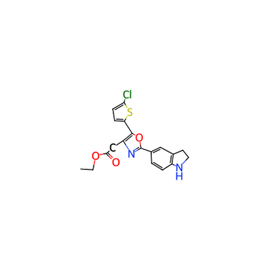 CCOC(=O)Cc1nc(-c2ccc3c(c2)CCN3)oc1-c1ccc(Cl)s1